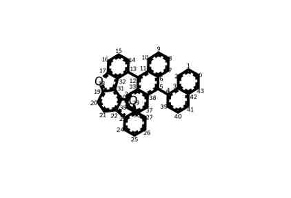 c1ccc2c(-c3c4ccccc4c(-c4cccc5oc6ccc7c8ccccc8oc7c6c45)c4ccccc34)cccc2c1